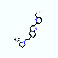 C[C@@H]1CCCN1CCc1ccc2nc(-c3cccc(CC=O)n3)ccc2c1